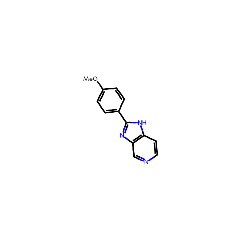 COc1ccc(-c2nc3cnccc3[nH]2)cc1